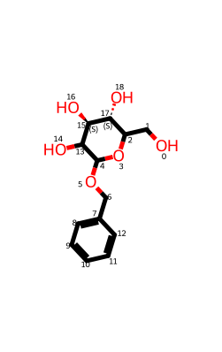 OCC1OC(OCc2ccccc2)C(O)[C@@H](O)[C@@H]1O